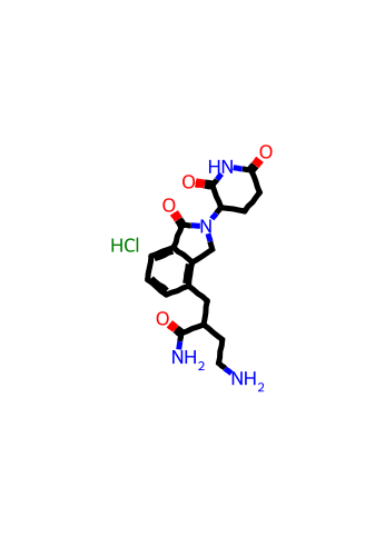 Cl.NCCC(Cc1cccc2c1CN(C1CCC(=O)NC1=O)C2=O)C(N)=O